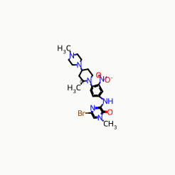 C[C@H]1CC(N2CCN(C)CC2)CCN1c1ccc(Nc2nc(Br)cn(C)c2=O)cc1[N+](=O)[O-]